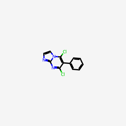 Clc1nc2nccn2c(Cl)c1-c1ccccc1